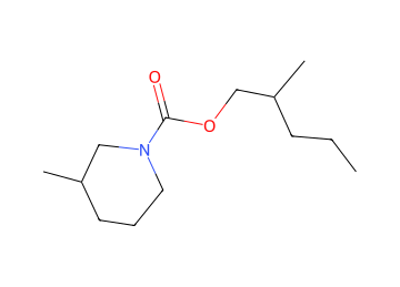 CCCC(C)COC(=O)N1CCCC(C)C1